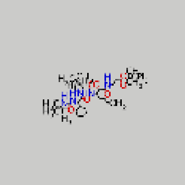 C=CCCC(NC(=O)[C@@H]1[C@@H]2[C@H](CN1C(=O)[C@@H](NC(=O)NC(C)(C)C)C1CCCCC1)C2(C)C)C(=O)C(=O)NCCC(=O)OC(C)(C)C